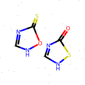 O=c1n[c][nH]s1.S=c1n[c][nH]o1